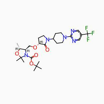 C[C@H]1OC(C)(C)N(C(=O)OC(C)(C)C)[C@@H]1CO[C@@H]1CCN(C2CCN(c3ncc(C(F)(F)F)cn3)CC2)C1=O